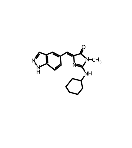 CN1C(=O)/C(=C/c2ccc3[nH]ncc3c2)N=C1NC1CCCCC1